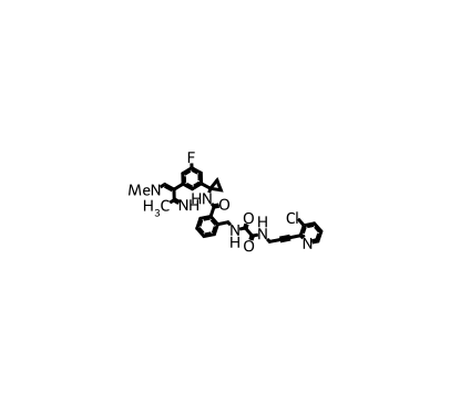 CN/C=C(\C(C)=N)c1cc(F)cc(C2(NC(=O)c3ccccc3CNC(=O)C(=O)NCC#Cc3ncccc3Cl)CC2)c1